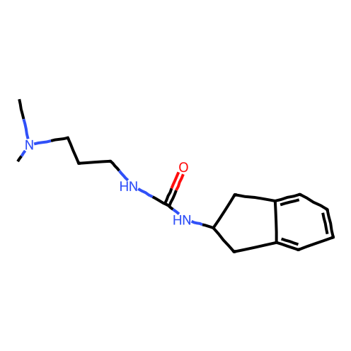 CN(C)CCCNC(=O)NC1Cc2ccccc2C1